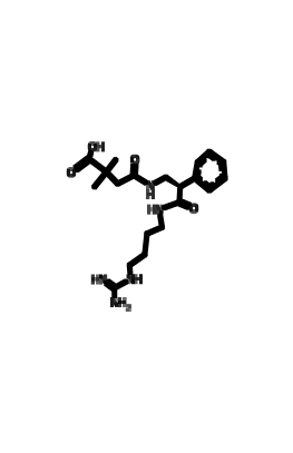 CC(C)(CC(=O)NC[C@H](C(=O)NCCCCNC(=N)N)c1ccccc1)C(=O)O